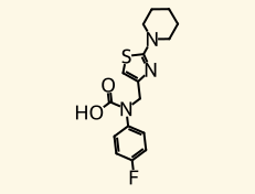 O=C(O)N(Cc1csc(N2CCCCC2)n1)c1ccc(F)cc1